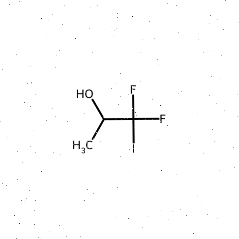 CC(O)C(F)(F)I